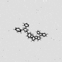 c1ccc(-c2nc(-c3ccccc3)nc(-c3ccc4c(c3)sc3c4ccc4c5cccc(-n6c7ccccc7c7ccccc76)c5sc43)n2)cc1